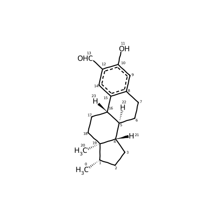 C[C@H]1CC[C@H]2[C@@H]3CCc4cc(O)c(C=O)cc4[C@H]3CC[C@]12C